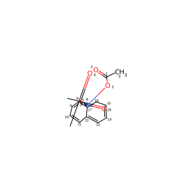 CC(=O)ON1C(=O)CC2=CC=CC3=CC=CCC32C1=O